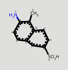 Cc1c(N)ccc2cc(S(=O)(=O)O)ccc12